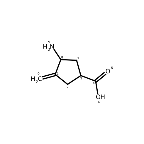 C=C1CC(C(=O)O)CC1N